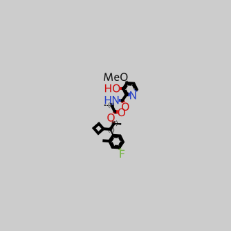 COc1ccnc(C(=O)N[C@@H](C)C(=O)O[C@@H](C)[C@@H](c2ccc(F)cc2C)C2CCC2)c1O